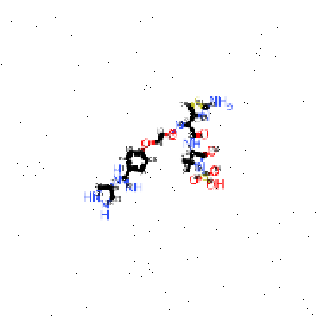 CC1(C)[C@H](NC(=O)/C(=N\OCCOc2ccc(C(=N)NC3CNNC3)cc2)c2csc(N)n2)C(=O)N1S(=O)(=O)O